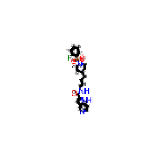 O=C(NCCCCC1CCN(S(=O)(=O)c2ccccc2F)CC1)c1cc2cnccc2[nH]1